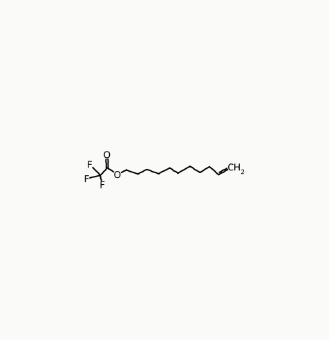 C=CCCCCCCCCCOC(=O)C(F)(F)F